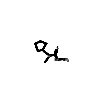 CN(C(=S)NN)C1CCCC1